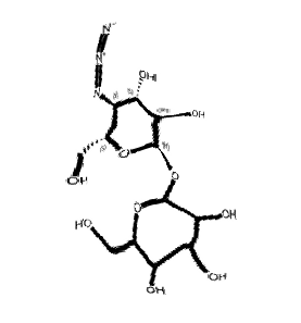 [N-]=[N+]=N[C@H]1[C@H](O)[C@@H](O)[C@@H](OC2OC(CO)C(O)C(O)C2O)O[C@@H]1CO